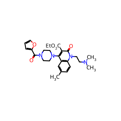 CCOC(=O)c1c(N2CCN(C(=O)c3ccco3)CC2)c2cc(C)ccc2n(CCN(C)C)c1=O